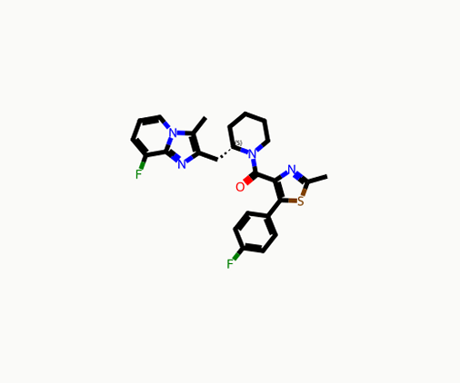 Cc1nc(C(=O)N2CCCC[C@H]2Cc2nc3c(F)cccn3c2C)c(-c2ccc(F)cc2)s1